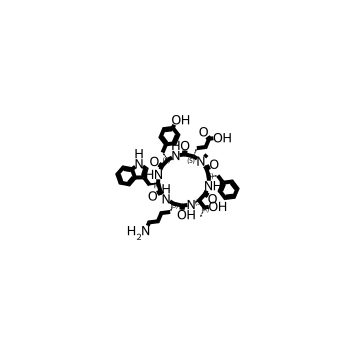 C[C@@H](O)[C@@H]1NC(=O)[C@H](CCCCN)NC(=O)[C@@H](Cc2c[nH]c3ccccc23)NC(=O)[C@H](Cc2ccc(O)cc2)NC(=O)[C@H](CCC(=O)O)N(C)C(=O)[C@H](Cc2ccccc2)NC1=O